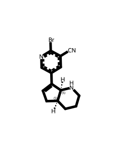 N#Cc1cc(C2=CC[C@@H]3CCCN[C@H]23)cnc1Br